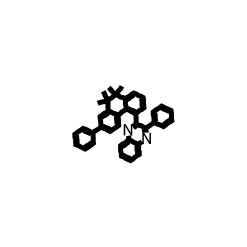 CC1(C)c2cc(-c3ccccc3)ccc2-c2c(-c3nc4ccccc4nc3-c3ccccc3)cccc2C1(C)C